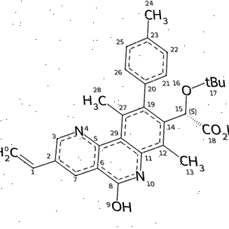 C=Cc1cnc2c(c1)c(O)nc1c(C)c([C@H](OC(C)(C)C)C(=O)O)c(-c3ccc(C)cc3)c(C)c12